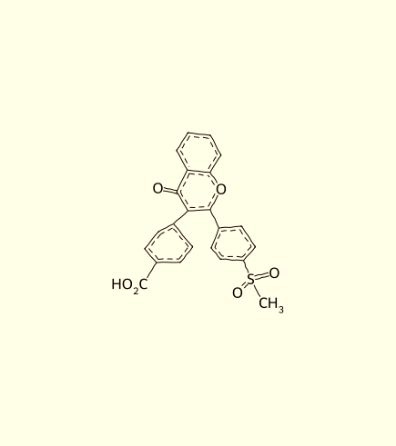 CS(=O)(=O)c1ccc(-c2oc3ccccc3c(=O)c2-c2ccc(C(=O)O)cc2)cc1